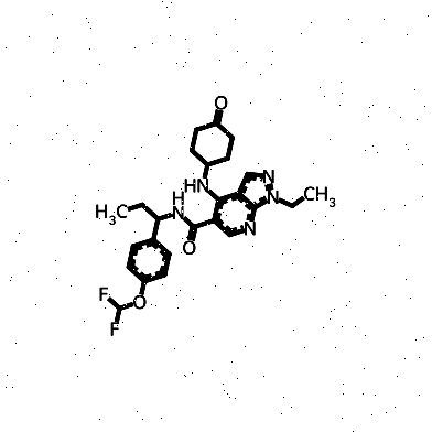 CCC(NC(=O)c1cnc2c(cnn2CC)c1NC1CCC(=O)CC1)c1ccc(OC(F)F)cc1